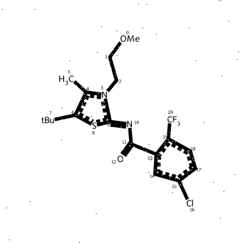 COCCn1c(C)c(C(C)(C)C)sc1=NC(=O)c1cc(Cl)ccc1C(F)(F)F